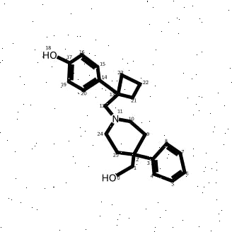 OCC1(c2ccccc2)CCN(CC2(c3ccc(O)cc3)CCC2)CC1